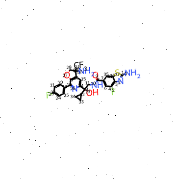 Nc1nc2c(F)cc(C(=O)NC[C@](O)(c3cc4c(c(-c5ccc(F)cc5)n3)OC[C@@]4(N)C(F)(F)F)C3CC3)cc2s1